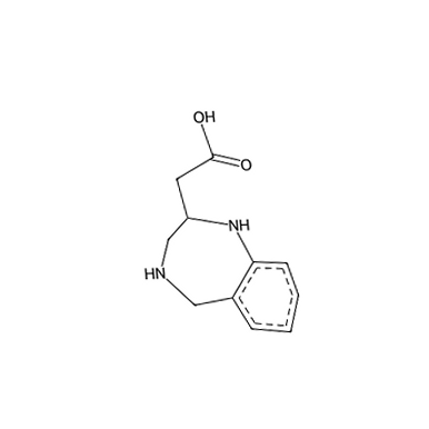 O=C(O)CC1CNCc2ccccc2N1